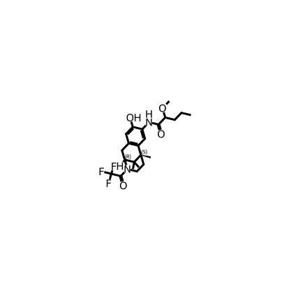 CCCC(OC)C(=O)Nc1cc2c(cc1O)C[C@H]1N(C(=O)C(F)(F)F)CC[C@]2(C)C1(C)C